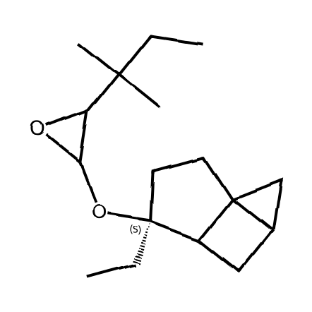 CCC(C)(C)C1OC1O[C@@]1(CC)CCC23CC2CC31